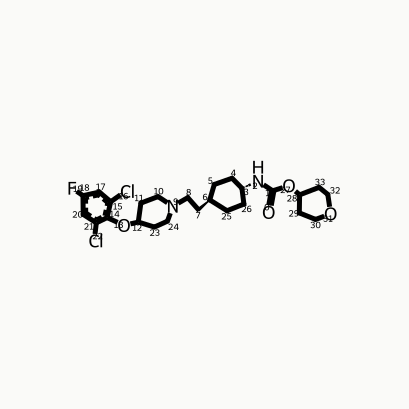 O=C(N[C@H]1CC[C@H](CCN2CCC(Oc3c(Cl)cc(F)cc3Cl)CC2)CC1)OC1CCOCC1